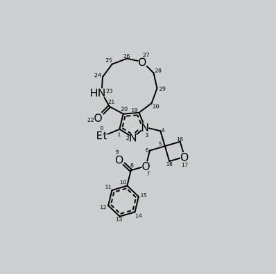 CCc1nn(CC2(COC(=O)c3ccccc3)COC2)c2c1C(=O)NCCCOCCC2